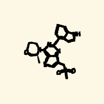 C[C@@H]1COCCN1c1nc(-c2cccc3[nH]ccc23)nc2c(CS(C)(=O)=O)csc12